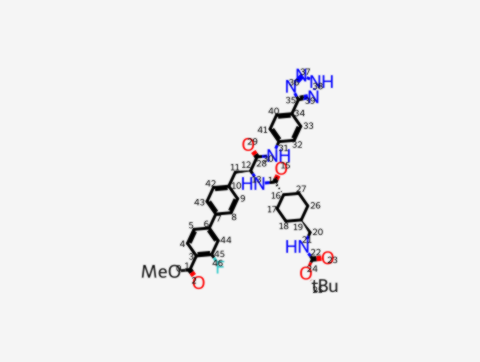 COC(=O)c1ccc(-c2ccc(C[C@H](NC(=O)[C@H]3CC[C@H](CNC(=O)OC(C)(C)C)CC3)C(=O)Nc3ccc(-c4nn[nH]n4)cc3)cc2)cc1F